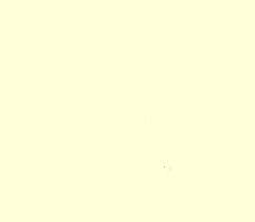 CCNc1cc(CC)ccc1C(=O)c1ccc(CC)cc1